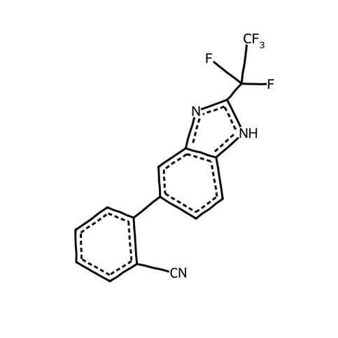 N#Cc1ccccc1-c1ccc2[nH]c(C(F)(F)C(F)(F)F)nc2c1